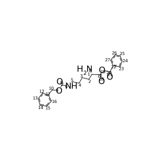 N[C@@H](CCCCNC(=O)OCc1ccccc1)C(=O)OC(=O)c1ccccc1